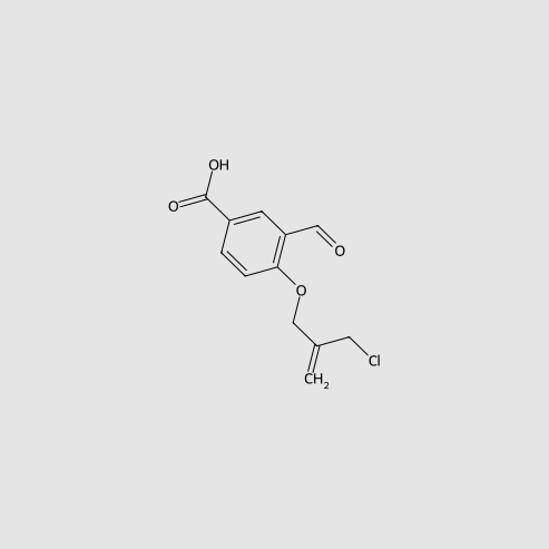 C=C(CCl)COc1ccc(C(=O)O)cc1C=O